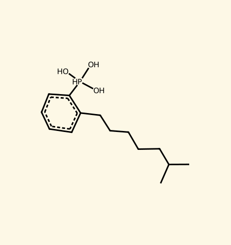 CC(C)CCCCCc1ccccc1[PH](O)(O)O